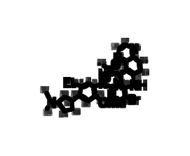 CCc1cc(Nc2ncc(Br)c(Nc3ccc4nccnc4c3NS(C)(=O)=O)n2)c(OC)cc1C1CCC(N(C)C)C1